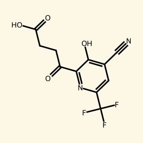 N#Cc1cc(C(F)(F)F)nc(C(=O)CCC(=O)O)c1O